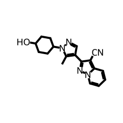 Cc1c(-c2nn3ccccc3c2C#N)cnn1C1CCC(O)CC1